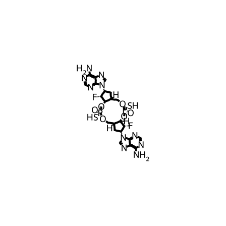 Nc1ncnc2c1ncn2[C@@H]1C[C@@H]2COP(=O)(S)OC3[C@@H](COP(=O)(S)O[C@@H]2[C@@H]1F)C[C@@H](n1cnc2c(N)ncnc21)[C@H]3F